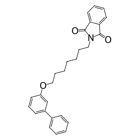 O=C1c2ccccc2C(=O)N1CCCCCCCOc1cccc(-c2ccccc2)c1